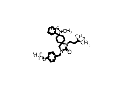 COc1ccc(CN2CC3(CCC(c4ccccc4)(N(C)C)CC3)N(CCC(C)C)C2=O)cc1